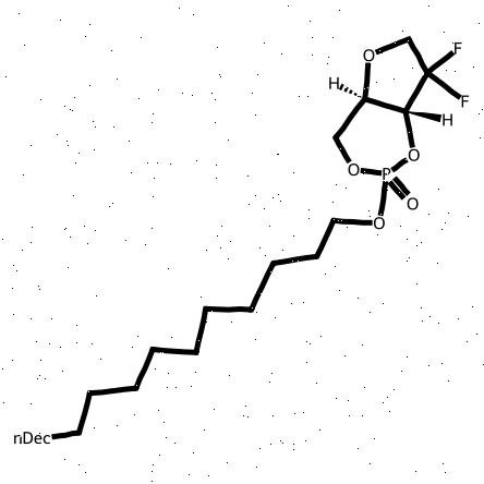 CCCCCCCCCCCCCCCCCCCCOP1(=O)OC[C@H]2OCC(F)(F)[C@@H]2O1